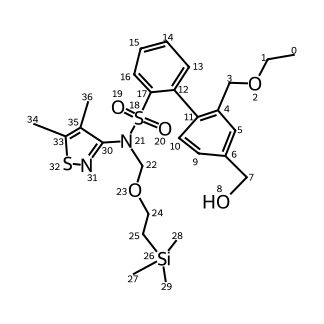 CCOCc1cc(CO)ccc1-c1ccccc1S(=O)(=O)N(COCC[Si](C)(C)C)c1nsc(C)c1C